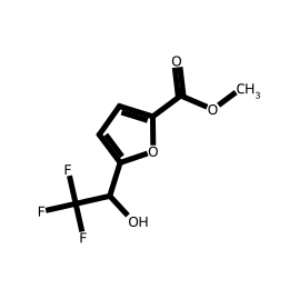 COC(=O)c1ccc(C(O)C(F)(F)F)o1